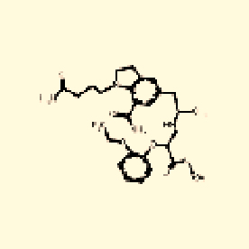 CC(Cc1cc2c(c(C(N)=O)c1)N(CCCC(N)=O)CC2)NCC(Oc1ccccc1OCC(F)(F)F)C(=O)OC(C)(C)C